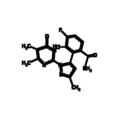 Cc1cc(-c2c(C(N)=O)ccc(F)c2Cl)n(-c2nc(C)c(C)c(=O)[nH]2)n1